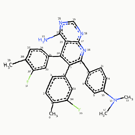 Cc1ccc(-c2c(-c3ccc(N(C)C)cc3)nc3ncnc(N)c3c2-c2ccc(C)c(F)c2)cc1F